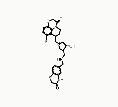 O=C1CSc2ccc(CNC[C@H]3CN(CC4CCN5C(=O)COc6ccc(F)c4c65)C[C@H]3O)nc2N1